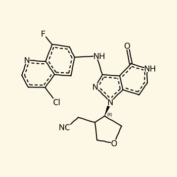 N#CCC1COC[C@@H]1n1nc(Nc2cc(F)c3nccc(Cl)c3c2)c2c(=O)[nH]ccc21